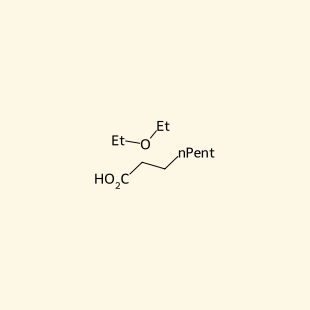 CCCCCCCC(=O)O.CCOCC